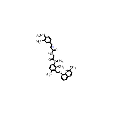 CC(=O)Nc1ccc(/C=C/C(=O)NCC(=O)N(C)c2ccc(C)c(COc3cccc4ccc(C)nc34)c2C)cc1C